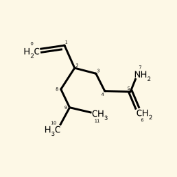 C=CC(CCC(=C)N)CC(C)C